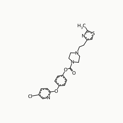 Cc1nc(CCN2CCN(C(=O)Oc3ccc(Oc4ccc(Cl)cn4)cc3)CC2)cs1